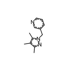 Cc1nn(Cc2cccnc2)c(C)c1C